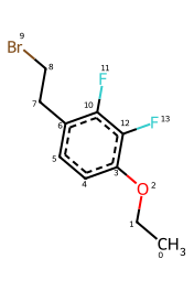 CCOc1ccc(CCBr)c(F)c1F